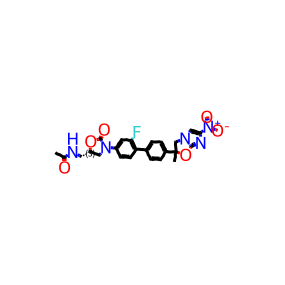 CC(=O)NC[C@H]1CN(c2ccc(-c3ccc(C4(C)Cn5cc([N+](=O)[O-])nc5O4)cc3)c(F)c2)C(=O)O1